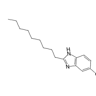 CCCCCCCCCc1nc2cc(Cl)ccc2[nH]1